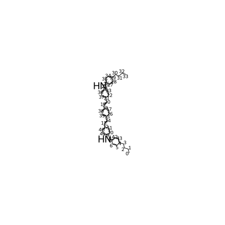 CCCCc1ccc(Nc2ccc(C=Cc3ccc(C=Cc4ccc(Nc5ccc(CCCC)cc5)cc4)cc3)cc2)cc1